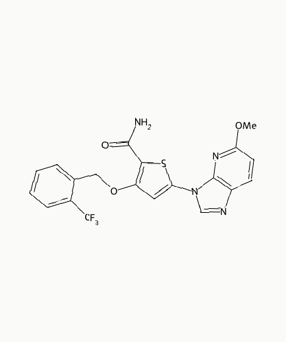 COc1ccc2ncn(-c3cc(OCc4ccccc4C(F)(F)F)c(C(N)=O)s3)c2n1